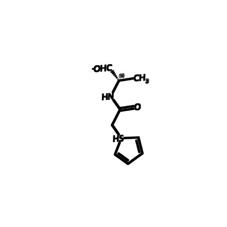 C[C@@H]([C]=O)NC(=O)C[SH]1C=CC=C1